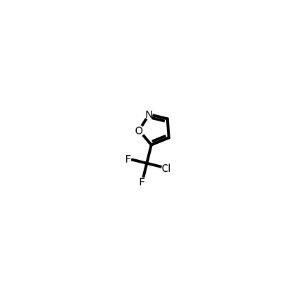 FC(F)(Cl)c1ccno1